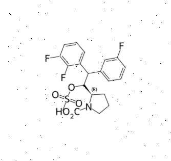 CS(=O)(=O)OC(C(c1cccc(F)c1)c1cccc(F)c1F)[C@H]1CCCN1C(=O)O